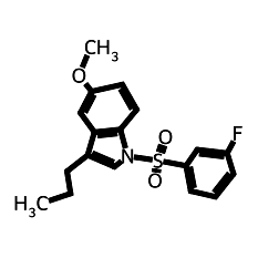 CCCc1cn(S(=O)(=O)c2cccc(F)c2)c2ccc(OC)cc12